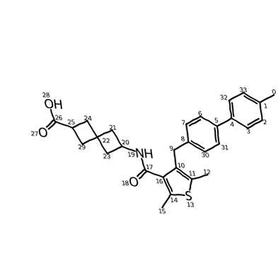 Cc1ccc(-c2ccc(Cc3c(C)sc(C)c3C(=O)NC3CC4(C3)CC(C(=O)O)C4)cc2)cc1